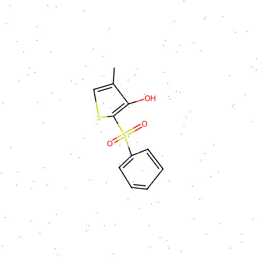 Cc1csc(S(=O)(=O)c2ccccc2)c1O